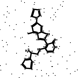 Cc1cc(-n2ccnc2)cc2[nH]c(-c3c(NCC(N)c4ccccc4)cc[nH]c3=O)nc12